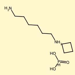 C1CCC1.NCCCCCCN.O=[PH](O)O